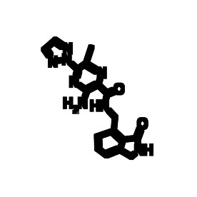 Cc1nc(C(=O)NCc2cccc3c2C(=O)NC3)c(N)nc1-n1nccn1